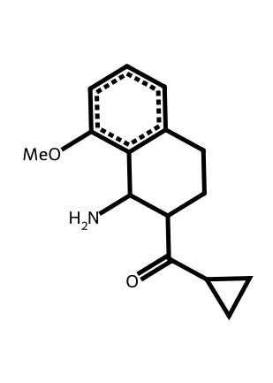 COc1cccc2c1C(N)C(C(=O)C1CC1)CC2